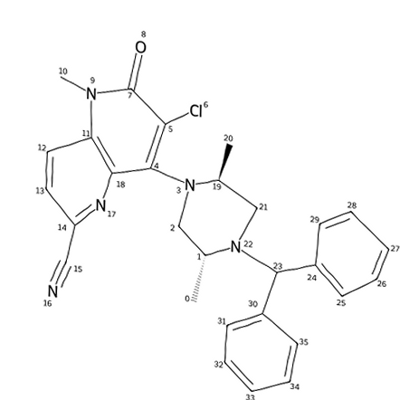 C[C@@H]1CN(c2c(Cl)c(=O)n(C)c3ccc(C#N)nc23)[C@@H](C)CN1C(c1ccccc1)c1ccccc1